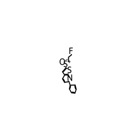 [O-][S+](CCCF)c1cc2ccc(-c3ccccc3)nc2s1